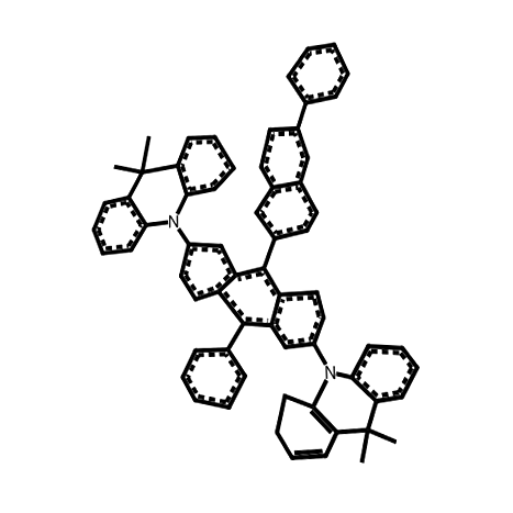 CC1(C)C2=C(CCC=C2)N(c2ccc3c(-c4ccc5cc(-c6ccccc6)ccc5c4)c4cc(N5c6ccccc6C(C)(C)c6ccccc65)ccc4c(-c4ccccc4)c3c2)c2ccccc21